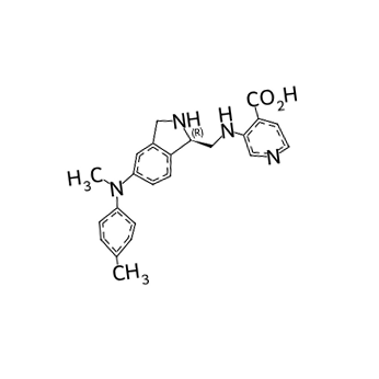 Cc1ccc(N(C)c2ccc3c(c2)CN[C@H]3CNc2cnccc2C(=O)O)cc1